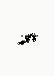 CN(Cc1cc2c(=O)c(C(=O)NCc3ccc(Cl)cc3)cn(C)c2o1)CC(O)c1ccoc1